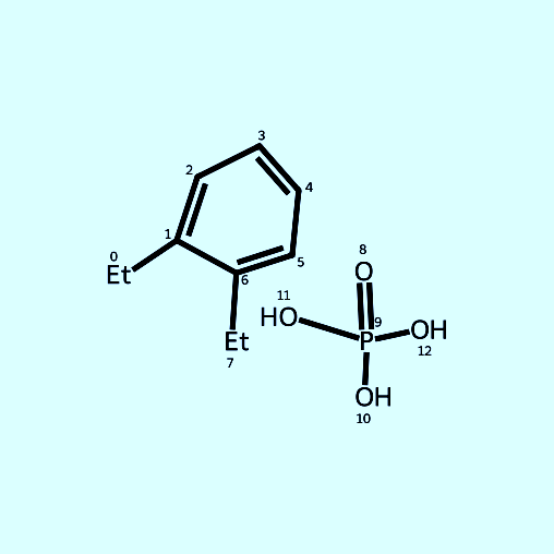 CCc1ccccc1CC.O=P(O)(O)O